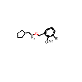 COc1c(CO[SiH2]CC2CCCC2)cccc1C(C)C